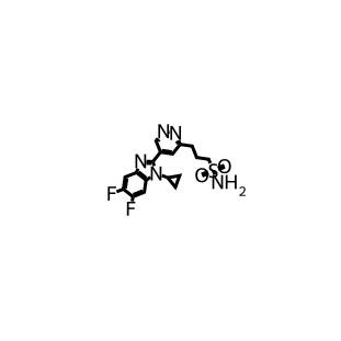 NS(=O)(=O)CCCc1cc(-c2nc3cc(F)c(F)cc3n2C2CC2)cnn1